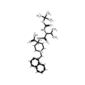 CC(C)[C@H](NC(=O)OC(C)(C)C)C(=O)NC1(C(=O)O)CCN(Cc2cccc3ccccc23)CC1